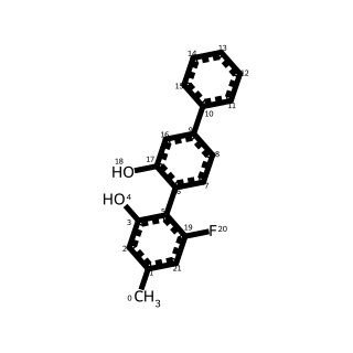 Cc1cc(O)c(-c2ccc(-c3ccccc3)cc2O)c(F)c1